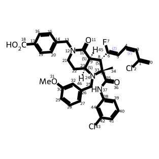 C=C(Cl)/C=C\C=C(/F)[C@H]1[C@@H]2C(=O)N(Cc3ccc(C(=O)O)cc3)CC[C@@H]2N(Cc2cccc(OC)c2)[C@@]1(C)C(=O)Nc1cccc(Cl)c1